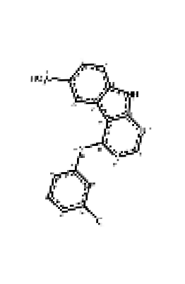 O=C(O)c1ccc2[nH]c3ncnc(Nc4cccc(Cl)c4)c3c2c1